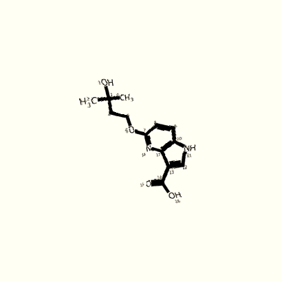 CC(C)(O)CCOc1ccc2[nH]cc(C(=O)O)c2n1